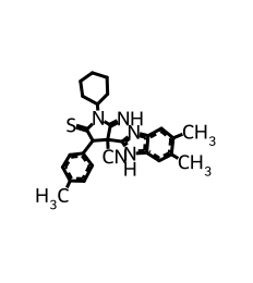 Cc1ccc(C2C(=S)N(C3CCCCC3)C(=N)C2(C#N)c2nc3cc(C)c(C)cc3[nH]2)cc1